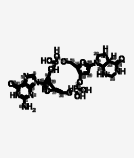 Nc1nc2c(ncn2C2=C3O[PH](O)(O)OCc4oc(N5CN[C@H]6C(=O)NCNC65)cc4O[PH](O)(O)O/C=C(/O2)[C@H]3F)c(=O)[nH]1